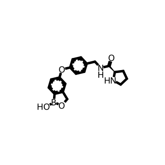 O=C(NCc1ccc(Oc2ccc3c(c2)COB3O)cc1)[C@H]1CCCN1